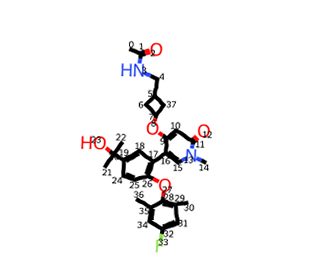 CC(=O)NCC1CC(Oc2cc(=O)n(C)cc2-c2cc(C(C)(C)O)ccc2Oc2c(C)cc(F)cc2C)C1